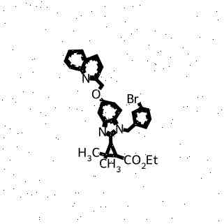 CCOC(=O)C1C(c2nc3cc(OCc4ccc5ccccc5n4)ccc3n2Cc2cccc(Br)c2)C1(C)C